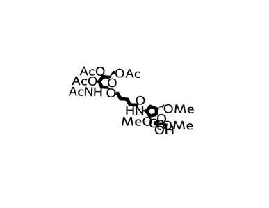 COC[C@H]1C[C@H](NC(=O)CCCCO[C@@H]2O[C@H](COC(C)=O)[C@H](OC(C)=O)[C@H](OC(C)=O)[C@H]2NC(C)=O)[C@@H](OC)C1OP(=O)(O)OC